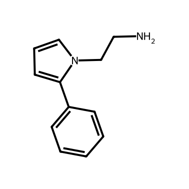 NCCn1cccc1-c1ccccc1